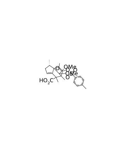 COC1(OC)C(=O)C23C(=CC[C@@H]2C)C(C)(C(=O)O)C1(C)C(OS(=O)(=O)c1ccc(C)cc1)=C3C